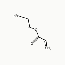 C=CC(=O)O[CH]CCCC